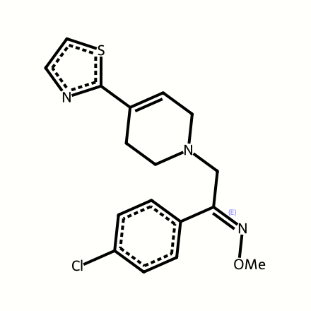 CO/N=C(/CN1CC=C(c2nccs2)CC1)c1ccc(Cl)cc1